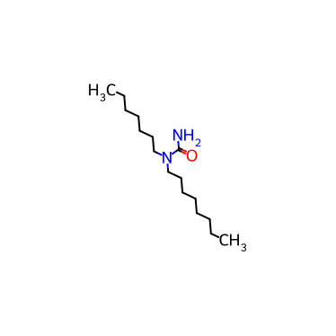 CCCCCCCCN(CCCCCCC)C(N)=O